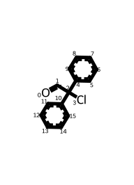 O=[C]C(Cl)(c1ccccc1)c1ccccc1